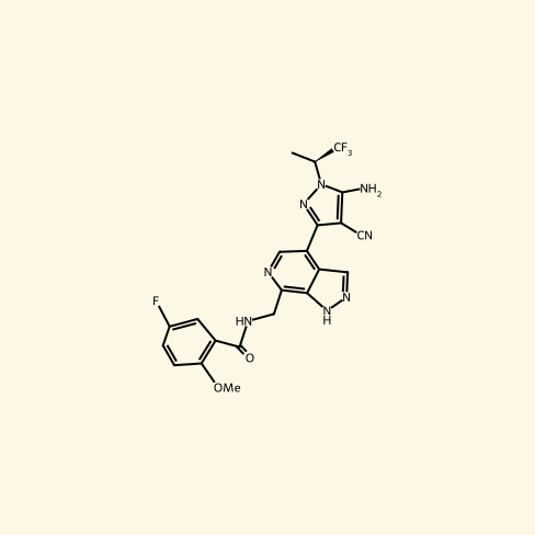 COc1ccc(F)cc1C(=O)NCc1ncc(-c2nn([C@@H](C)C(F)(F)F)c(N)c2C#N)c2cn[nH]c12